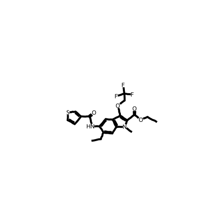 CCOC(=O)c1c(OCC(F)(F)F)c2cc(NC(=O)c3ccsc3)c(CC)cc2n1C